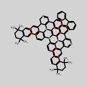 CC1(C)CCC(C)(C)c2cc(-c3ccc4c(c3)N(C3=C(c5ccccc5)C=NCC3c3ccccc3)c3cc(-n5c6ccccc6c6ccccc65)cc5c3B4c3ccc(-c4ccc6c(c4)C(C)(C)CCC6(C)C)cc3N5c3c(-c4ccccc4)cncc3-c3ccccc3)ccc21